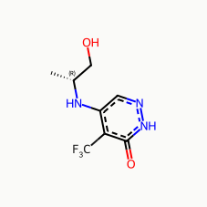 C[C@H](CO)Nc1cn[nH]c(=O)c1C(F)(F)F